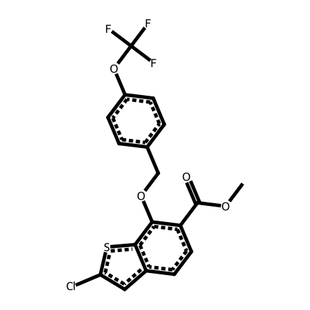 COC(=O)c1ccc2cc(Cl)sc2c1OCc1ccc(OC(F)(F)F)cc1